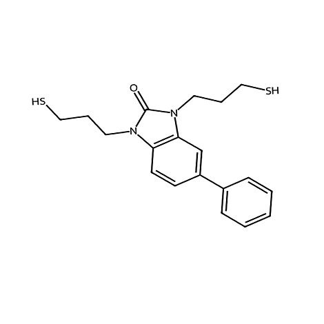 O=c1n(CCCS)c2ccc(-c3ccccc3)cc2n1CCCS